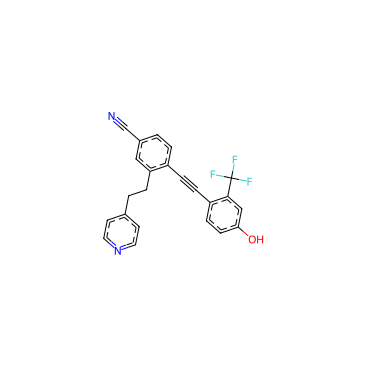 N#Cc1ccc(C#Cc2ccc(O)cc2C(F)(F)F)c(CCc2ccncc2)c1